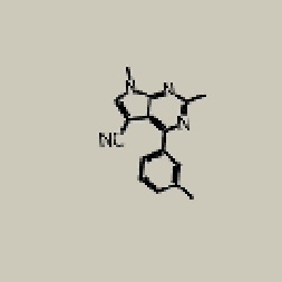 Cc1cccc(-c2nc(C)nc3c2c(C#N)cn3C)c1